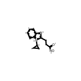 O=NC(=O)CCc1nc2ccccc2n1C1CC1